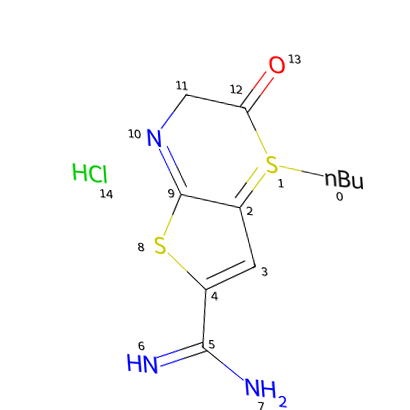 CCCCS1=c2cc(C(=N)N)sc2=NCC1=O.Cl